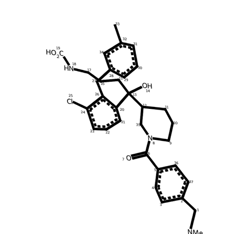 CNCc1ccc(C(=O)N2CCCC(C(O)(CCCNC(=O)O)c3cccc(Cl)c3Cc3cccc(C)c3)C2)cc1